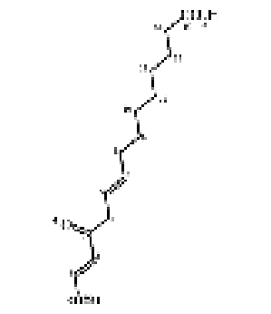 CCCCC=CC(=O)CC=CCCCCCCCC(=O)O